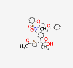 CC(=O)c1ccc(C(c2ccc(C)c(CN3CC(CCOCc4ccccc4)Oc4ccccc4S3(=O)=O)c2)C(C)C(=O)O)s1